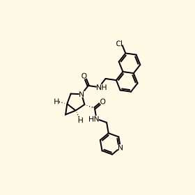 O=C(NCc1cccnc1)[C@@H]1[C@H]2C[C@H]2CN1C(=O)NCc1cccc2ccc(Cl)cc12